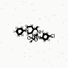 CC(N/C(=N/S(C)(=O)=O)Nc1ccc(Cl)cc1)C1CCN(c2ccccc2)CC1